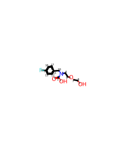 O=C(O)N(CCOCCO)Cc1ccc(F)cc1